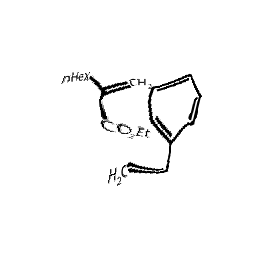 C=C(CCCCCC)C(=O)OCC.C=Cc1ccccc1